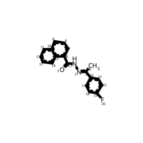 C/C(=N\NC(=O)c1cccc2ccccc12)c1ccc(F)cc1